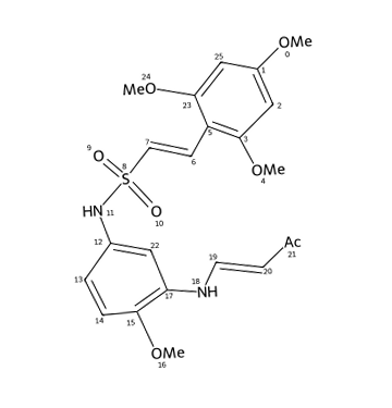 COc1cc(OC)c(C=CS(=O)(=O)Nc2ccc(OC)c(NC=CC(C)=O)c2)c(OC)c1